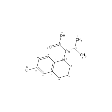 CC(C)[C@@H](C(=O)O)N1CCCc2cc(Cl)ccc21